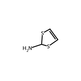 NC1SC=CS1